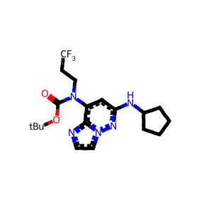 CC(C)(C)OC(=O)N(CCC(F)(F)F)c1cc(NC2CCCC2)nn2ccnc12